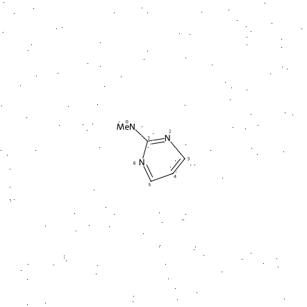 [CH2]Nc1ncccn1